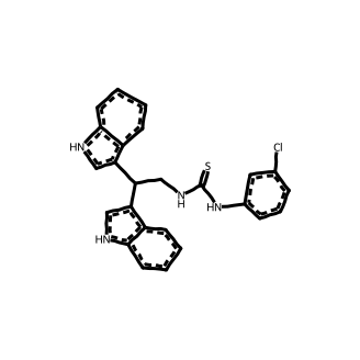 S=C(NCC(c1c[nH]c2ccccc12)c1c[nH]c2ccccc12)Nc1cccc(Cl)c1